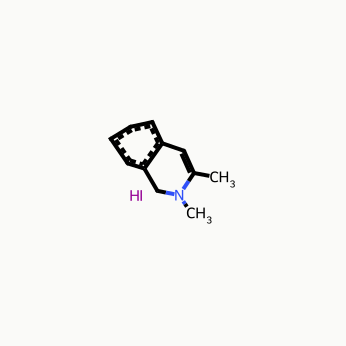 CC1=Cc2ccccc2CN1C.I